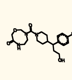 O=C1COCN(C(=O)N2CCC(C(CCO)c3ccc(F)cc3)CC2)CCN1